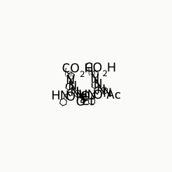 CC(=O)N1CCN(c2nc(N3CCC[C@@H](CC(=O)O)C3)ccc2C(=O)NC2CCCCC2)CC1.CCS(=O)(=O)N1CCN(c2nc(N3CCC[C@@H](CC(=O)O)C3)ccc2C(=O)NC2CCCCC2)CC1